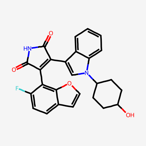 O=C1NC(=O)C(c2c(F)ccc3ccoc23)=C1c1cn(C2CCC(O)CC2)c2ccccc12